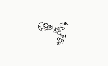 CC(C)(C)OC(=O)N[C@@H]1C[C@H](NC(=O)OC(C)(C)C)[C@@H](OCc2cn(CC(=O)c3cc4ccc3CCc3ccc(cc3)CC4)nn2)C1